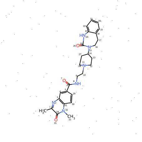 Cc1nc2cc(C(=O)NCCN3CCC(N4CCc5ccccc5NC4=O)CC3)ccc2n(C)c1=O